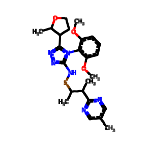 COc1cccc(OC)c1-n1c(NSC(C)C(C)c2ncc(C)cn2)nnc1C1CCOC1C